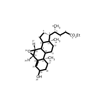 CCOC(=O)CC[C@@H](C)[C@H]1CCC2C3C(CC[C@@]21C)[C@@]1(C)CCC(O)C=C1[C@@H]1O[C@H]31